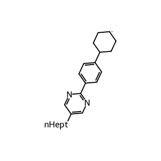 CCCCCCCc1cnc(-c2ccc(C3CC[CH]CC3)cc2)nc1